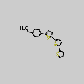 C=Cc1ccc(-c2ccc(-c3ccc(-c4cccs4)s3)s2)cc1